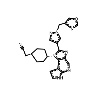 N#CC[C@H]1CC[C@H](n2c(-c3cnn(Cc4cocn4)c3)nc3cnc4[nH]ccc4c32)CC1